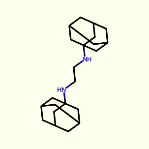 C(CNC12CC3CC(CC(C3)C1)C2)NC12CC3CC(CC(C3)C1)C2